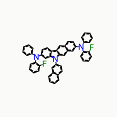 Fc1ccccc1N(c1ccccc1)c1ccc2cc3c4ccc(N(c5ccccc5)c5ccccc5F)cc4n(-c4ccc5ccccc5c4)c3cc2c1